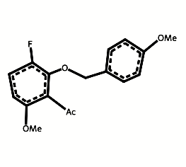 COc1ccc(COc2c(F)ccc(OC)c2C(C)=O)cc1